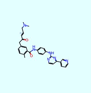 Cc1ccc(CC(=O)/C=C/CN(C)C)cc1C(=O)Nc1ccc(Nc2nccc(-c3cccnc3)n2)cc1